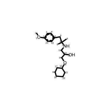 COc1ccc(CC(C)(C)NCC(O)COC2CCCCC2)cc1